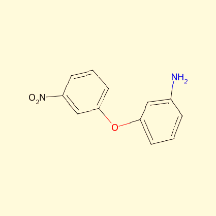 Nc1cccc(Oc2cccc([N+](=O)[O-])c2)c1